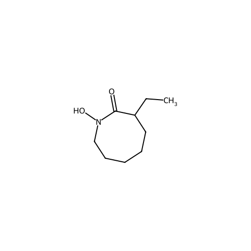 CCC1CCCCCN(O)C1=O